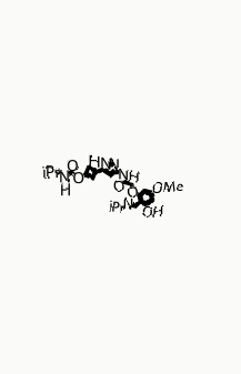 COc1cc(O)c(/C=N/C(C)C)c(OCC(=O)Nc2cc(C3CC(OC(=O)NC(C)C)C3)[nH]n2)c1